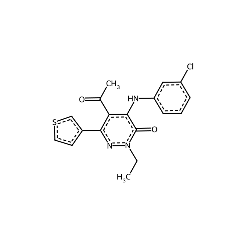 CCn1nc(-c2ccsc2)c(C(C)=O)c(Nc2cccc(Cl)c2)c1=O